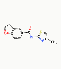 Cc1csc(NC(=O)c2ccc3occc3c2)n1